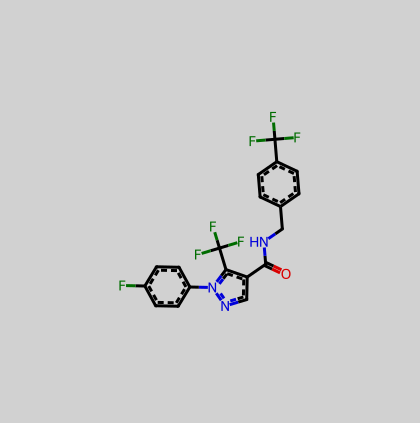 O=C(NCc1ccc(C(F)(F)F)cc1)c1cnn(-c2ccc(F)cc2)c1C(F)(F)F